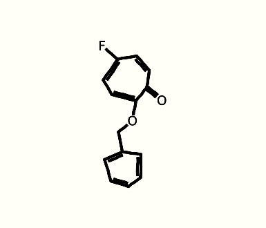 O=c1ccc(F)ccc1OCc1ccccc1